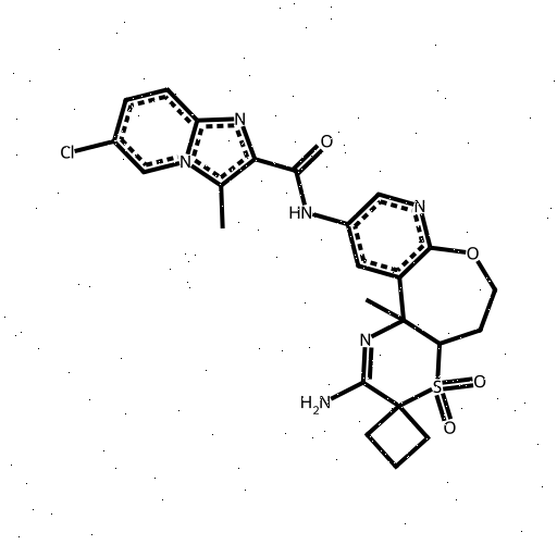 Cc1c(C(=O)Nc2cnc3c(c2)C2(C)N=C(N)C4(CCC4)S(=O)(=O)C2CCO3)nc2ccc(Cl)cn12